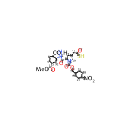 COC(=O)c1ccc(C(=O)O)c(NC(=O)[C@@H]2C[C@@H](CC(=O)S)CN2C(=O)OCc2ccc([N+](=O)[O-])cc2)c1